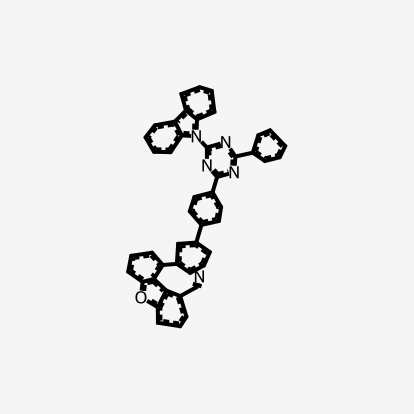 N#Cc1cccc2oc3cccc(-c4cccc(-c5ccc(-c6nc(-c7ccccc7)nc(-n7c8ccccc8c8ccccc87)n6)cc5)c4)c3c12